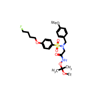 CCOC(C)(C)ONC(=O)CN(Cc1ccc(OC)cc1)S(=O)(=O)c1ccc(OCCCCF)cc1